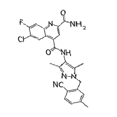 Cc1ccc(C#N)c(Cn2nc(C)c(NC(=O)c3cc(C(N)=O)nc4cc(F)c(Cl)cc34)c2C)c1